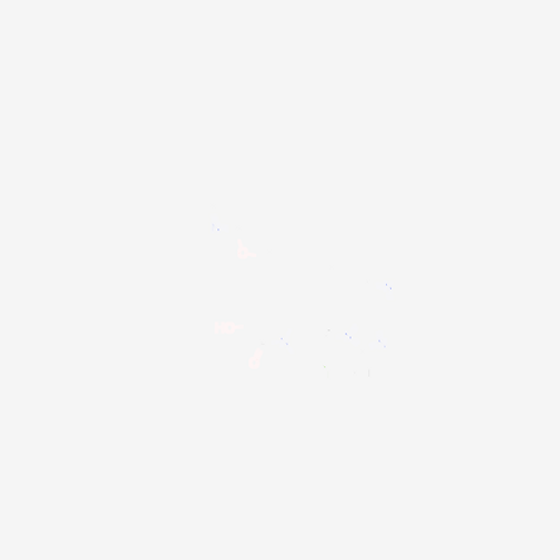 Cc1nc2cnc3cc(F)c(-c4ccc(Oc5cccc(C(F)(F)F)n5)cc4Cl)cc3c2n1[C@H]1CCN(C(=O)CO)C[C@@H]1F